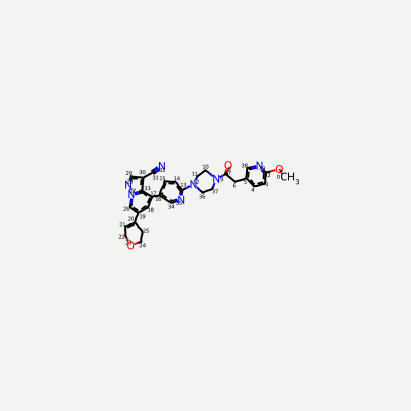 COc1ccc(CC(=O)N2CCN(c3ccc(-c4cc(C5=CCOCC5)cn5ncc(C#N)c45)cn3)CC2)cn1